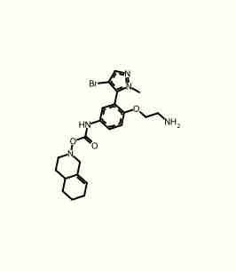 Cn1ncc(Br)c1-c1cc(NC(=O)ON2CCC3CCCC=C3C2)ccc1OCCN